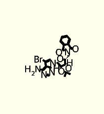 CC1(C)O[C@@H]2[C@H](O1)[C@@H](CN1C(=O)c3ccccc3C1=O)O[C@H]2n1cc(Br)c2c(N)ncnc21